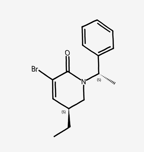 CC[C@H]1C=C(Br)C(=O)N([C@@H](C)c2ccccc2)C1